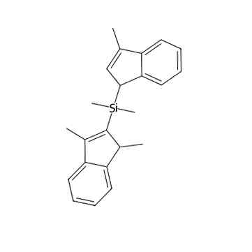 CC1=CC([Si](C)(C)C2=C(C)c3ccccc3C2C)c2ccccc21